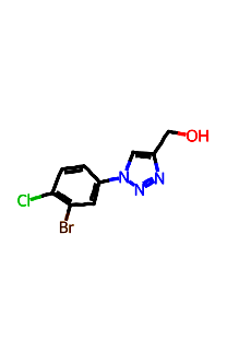 OCc1cn(-c2ccc(Cl)c(Br)c2)nn1